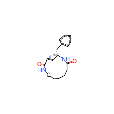 O=C1/C=C/[C@H](Cc2ccccc2)NC(=O)CCCCCN1